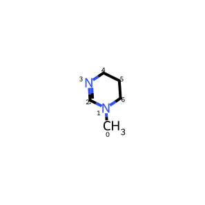 CN1[C]=NCCC1